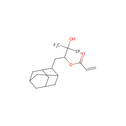 C=CC(=O)OC(CC1C2CC3CC(C2)CC1C3)C(O)(C(F)(F)F)C(F)(F)F